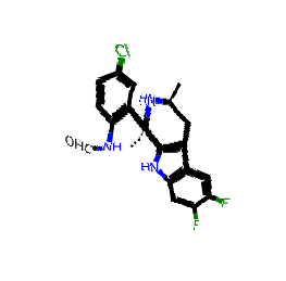 C[C@H]1Cc2c([nH]c3cc(F)c(F)cc23)[C@@](C)(c2cc(Cl)ccc2NC=O)N1